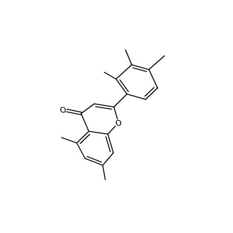 Cc1cc(C)c2c(=O)cc(-c3ccc(C)c(C)c3C)oc2c1